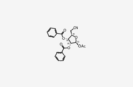 CC(=O)O[C@@H]1O[C@H](CC#N)[C@@H](OC(=O)c2ccccc2)[C@H]1OC(=O)c1ccccc1